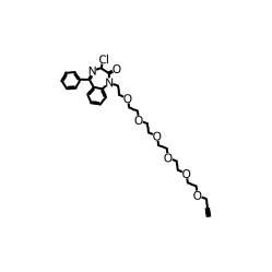 C#CCOCCOCCOCCOCCOCCOCCN1C(=O)C(Cl)N=C(c2ccccc2)c2ccccc21